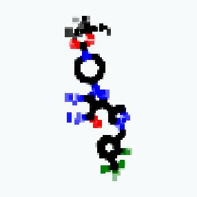 CC(C)(C)OC(=O)N1CCCC(n2nc(-c3cnn(Cc4cccc(C(F)(F)F)c4F)c3)c(C(N)=O)c2N)CCC1